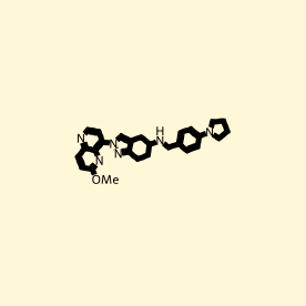 COc1ccc2nccc(-n3cc4c(n3)CCC(NCc3ccc(N5CCCC5)cc3)C4)c2n1